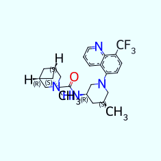 C[C@H]1C[C@@H](NC(=O)C[C@H]2[C@@H]3C[C@H]2CN(C)C3)CN(c2ccc(C(F)(F)F)c3ncccc23)C1